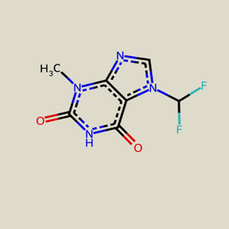 Cn1c(=O)[nH]c(=O)c2c1ncn2C(F)F